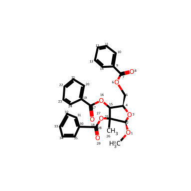 CO[C@@H]1O[C@H](COC(=O)c2ccccc2)C(OC(=O)c2ccccc2)C1(C)OC(=O)c1ccccc1